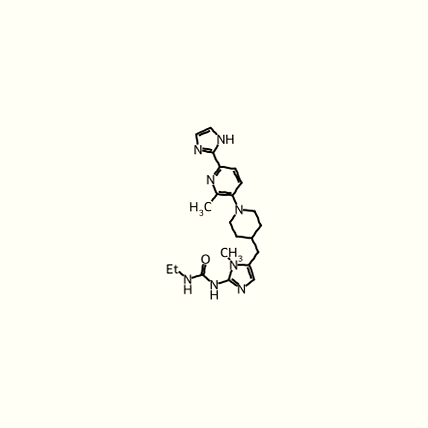 CCNC(=O)Nc1ncc(CC2CCN(c3ccc(-c4ncc[nH]4)nc3C)CC2)n1C